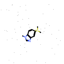 Cn1cnc2cc([SH](C)C)ccc21